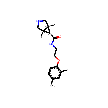 Cc1ccc(OCCNC(=O)[C@H]2[C@@H]3CNC[C@@H]32)c(C)c1